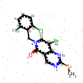 CSc1ncc2c(=O)n(Cc3c(Cl)cccc3Cl)cc(Br)c2n1